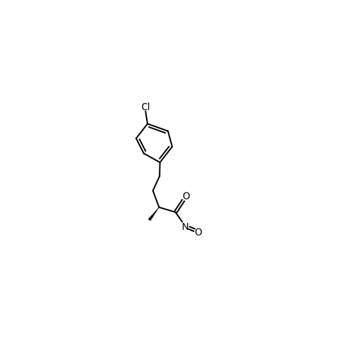 C[C@@H](CCc1ccc(Cl)cc1)C(=O)N=O